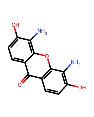 Nc1c(O)ccc2c(=O)c3ccc(O)c(N)c3oc12